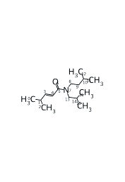 CC(C)/C=C/C(=O)N(CCC(C)C)CC(C)C